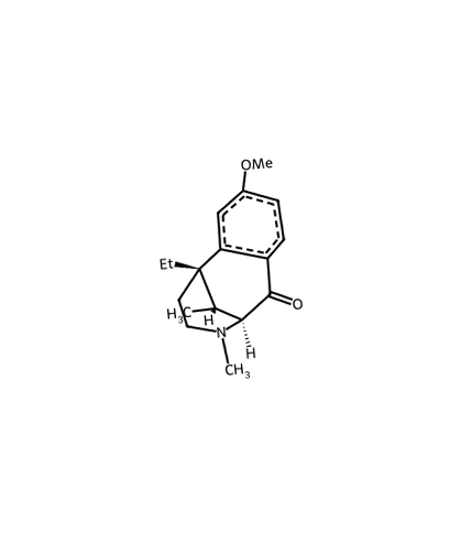 CC[C@@]12CCN(C)[C@H](C(=O)c3ccc(OC)cc31)[C@@H]2C